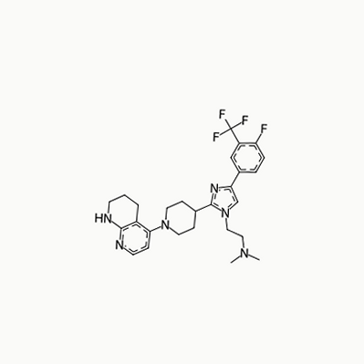 CN(C)CCn1cc(-c2ccc(F)c(C(F)(F)F)c2)nc1C1CCN(c2ccnc3c2CCCN3)CC1